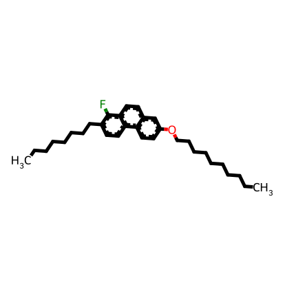 CCCCCCCCCCOc1ccc2c(ccc3c(F)c(CCCCCCCC)ccc32)c1